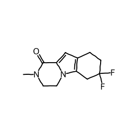 CN1CCn2c(cc3c2CC(F)(F)CC3)C1=O